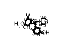 CC1(C)CC(=O)c2sc(N3CCOCC3)c(-c3cccc(O)c3)c2C1